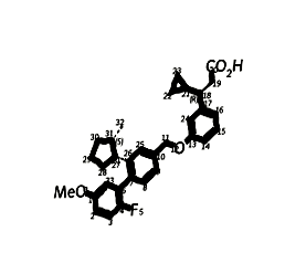 COc1ccc(F)c(-c2ccc(COc3cccc([C@H](CC(=O)O)C4CC4)c3)cc2[C@@H]2CCC[C@@H]2C)c1